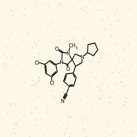 CN1C(=O)N(c2cc(Cl)cc(Cl)c2)C(=O)C12CN(C1CCCC1)CC2c1ccc(C#N)cc1